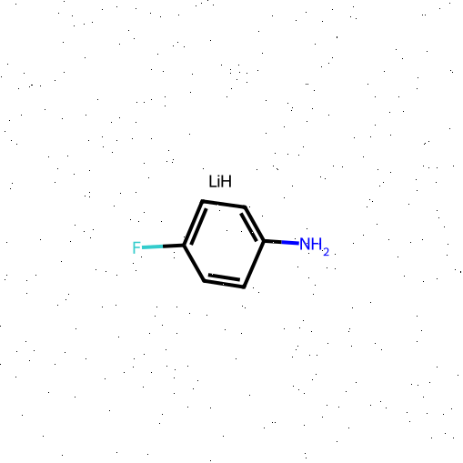 Nc1ccc(F)cc1.[LiH]